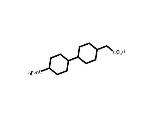 CCCCCC1CCC(C2CCC(CC(=O)O)CC2)CC1